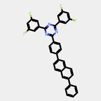 Fc1cc(F)cc(-c2nc(-c3ccc(-c4ccc5cc(-c6ccccc6)ccc5c4)cc3)nc(-c3cc(F)cc(F)c3)n2)c1